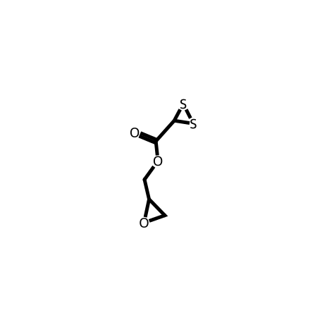 O=C(OCC1CO1)C1SS1